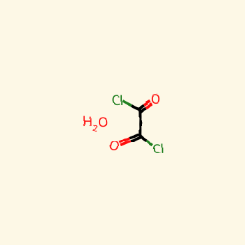 O.O=C(Cl)C(=O)Cl